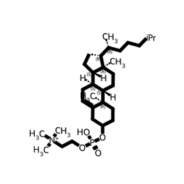 CC(C)CCC[C@@H](C)[C@H]1CC[C@H]2[C@@H]3CC=C4CC(OP(=O)(O)OCC[N+](C)(C)C)CC[C@]4(C)[C@H]3CC[C@]12C